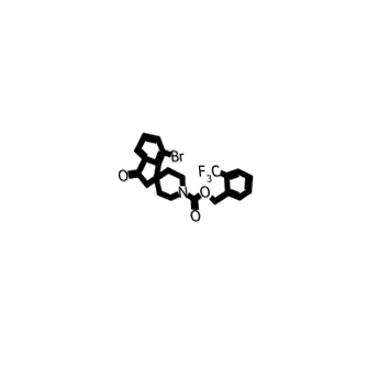 O=C1CC2(CCN(C(=O)OCc3ccccc3C(F)(F)F)CC2)c2c(Br)cccc21